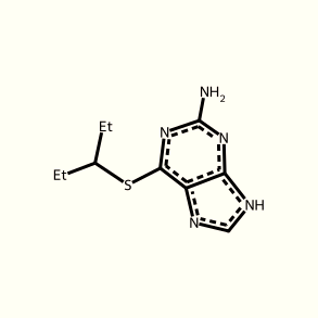 CCC(CC)Sc1nc(N)nc2[nH]cnc12